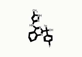 [2H]C(O)(c1ccc(F)cc1)c1nc(Nc2cc(C)[nH]n2)c2ccccc2n1